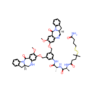 COc1cc2c(cc1OCc1cc(COc3cc4c(cc3OC)C(=O)N3c5ccccc5C[C@H]3CN4)cc(NC(=O)[C@@H](C)NC(=O)[C@H](C)NC(=O)CCC(C)(C)SSCCCC(N)=O)c1)N=C[C@@H]1Cc3ccccc3N1C2=O